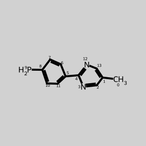 Cc1cnc(-c2ccc(P)cc2)nc1